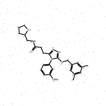 COc1cccc(-n2c(CCC(=O)NCC3CCCO3)nnc2SCc2cc(C)cc(C)c2)c1